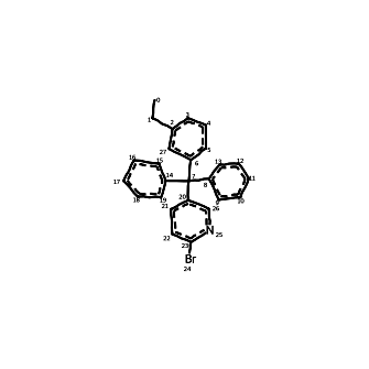 CCc1cccc(C(c2ccccc2)(c2ccccc2)c2ccc(Br)nc2)c1